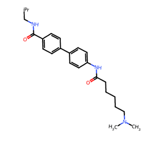 CC(C)CNC(=O)c1ccc(-c2ccc(NC(=O)CCCCCN(C)C)cc2)cc1